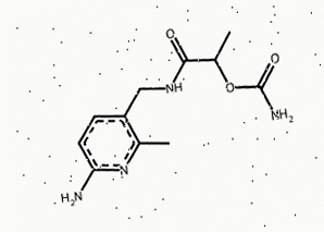 Cc1nc(N)ccc1CNC(=O)C(C)OC(N)=O